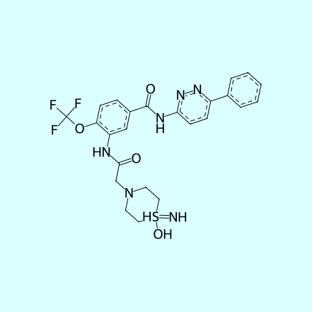 N=[SH]1(O)CCN(CC(=O)Nc2cc(C(=O)Nc3ccc(-c4ccccc4)nn3)ccc2OC(F)(F)F)CC1